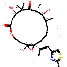 CCC[C@@]12CCOC(=O)C[C@H](O)C(C)(C)C(=O)[C@H](C)[C@@H](O)[C@@H](C)CCC[C@@]1(C(C)=Cc1csc(C)n1)O2